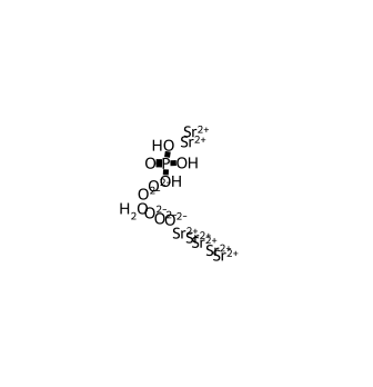 O.O=P(O)(O)O.[O-2].[O-2].[O-2].[O-2].[O-2].[Sr+2].[Sr+2].[Sr+2].[Sr+2].[Sr+2].[Sr+2].[Sr+2]